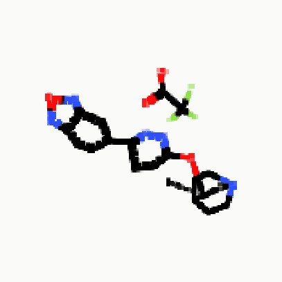 O=C(O)C(F)(F)F.c1cc2nonc2cc1-c1ccc(O[C@H]2CN3CCC2CC3)nn1